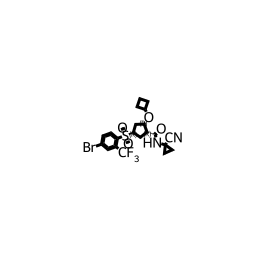 N#CC1(NC(=O)[C@@H]2C[C@@H](S(=O)(=O)c3ccc(Br)cc3C(F)(F)F)C[C@H]2OC2CCC2)CC1